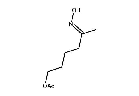 CC(=O)OCCCCC(C)=NO